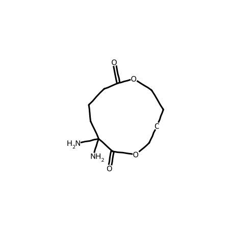 NC1(N)CCCC(=O)OCCCCOC1=O